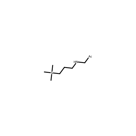 CC(=O)CNCCC[Si](C)(C)C